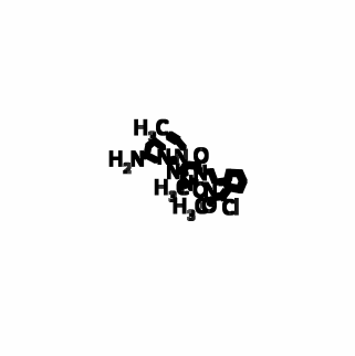 CC#CCn1c(N2CCCC(N)C2)nc2c1c(=O)n(Cc1nc(OC)c(Cl)c3ccccc13)c(=O)n2C